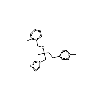 Cc1ccc(CCC(C)(Cn2ccnc2)OCc2ccccc2Cl)cc1